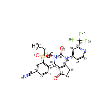 CCS(=O)(=O)c1cc(C#N)ccc1[C@H]1C2=C(CCC2=O)N(c2ccnc(C(F)(F)F)c2)C(=O)N1C